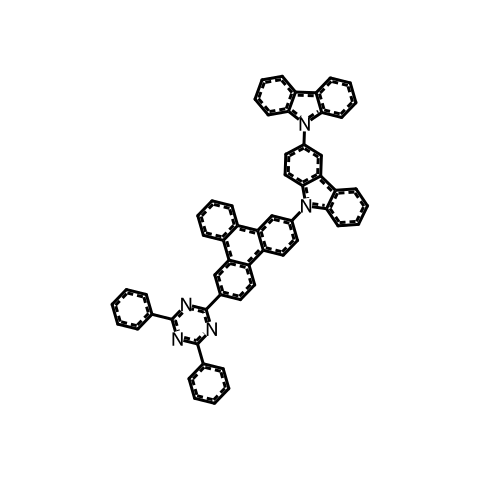 c1ccc(-c2nc(-c3ccccc3)nc(-c3ccc4c5ccc(-n6c7ccccc7c7cc(-n8c9ccccc9c9ccccc98)ccc76)cc5c5ccccc5c4c3)n2)cc1